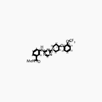 CNC(=O)c1cccc(Nc2ncnc(N3CCC(Oc4ccccc4OC(F)(F)F)CC3)n2)c1